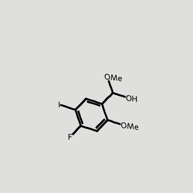 COc1cc(F)c(I)cc1C(O)OC